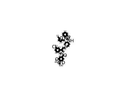 COc1cc(C(=O)N(C)CC(CCN2CCC(Nc3nc4ccccc4n3Cc3ccc(C)o3)CC2)c2cccc(Cl)c2)cc(OC)c1OC